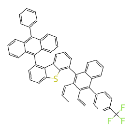 C=Cc1c(/C=C\C)c(-c2cccc3c2sc2cccc(-c4c5ccccc5c(-c5ccccc5)c5ccccc45)c23)c2ccccc2c1C(/C=C\C(=C)C(F)(F)F)=C/C